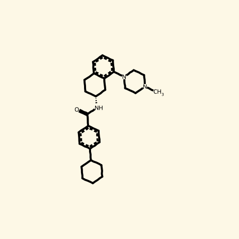 CN1CCN(c2cccc3c2C[C@H](NC(=O)c2ccc(C4CCCCC4)cc2)CC3)CC1